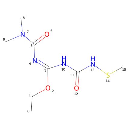 CCOC(=NC(=O)N(C)C)NC(=O)NSC